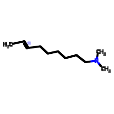 C/C=C/CCCCCCN(C)C